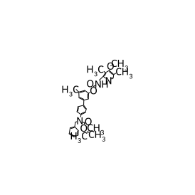 COc1c(C)cnc(CNC(=O)Oc2cc(C)cc(-c3ccc(N(Cc4ccccc4)C(=O)OC(C)(C)C)cc3)c2)c1C